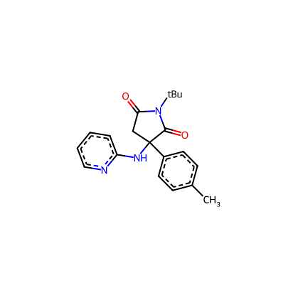 Cc1ccc(C2(Nc3ccccn3)CC(=O)N(C(C)(C)C)C2=O)cc1